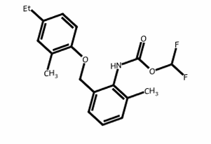 CCc1ccc(OCc2cccc(C)c2NC(=O)OC(F)F)c(C)c1